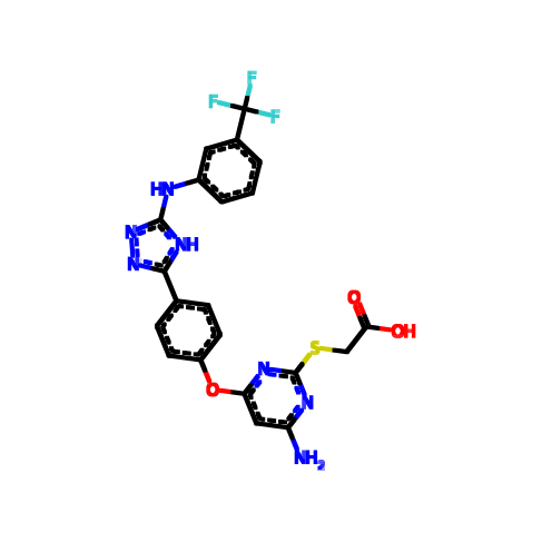 Nc1cc(Oc2ccc(-c3nnc(Nc4cccc(C(F)(F)F)c4)[nH]3)cc2)nc(SCC(=O)O)n1